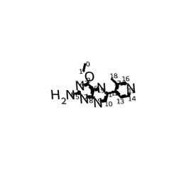 CCOc1nc(N)nc2ncc(-c3ccncc3C)nc12